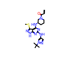 C=CC(=O)N1CCC[C@@H](Nc2nc(Nc3cnn(C(C)(C)C)c3)nc3[nH]nc(SC)c23)C1